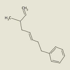 C=CC(C)C/C=C/CCc1ccccc1